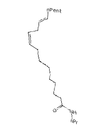 CCCCC/C=C/C/C=C\CCCCCCCC(=O)NCCC